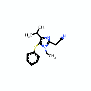 CCn1c(CC#N)nc(C(C)C)c1Sc1ccccc1